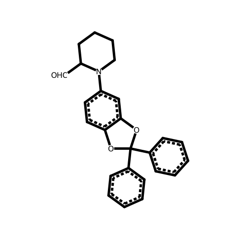 O=CC1CCCCN1c1ccc2c(c1)OC(c1ccccc1)(c1ccccc1)O2